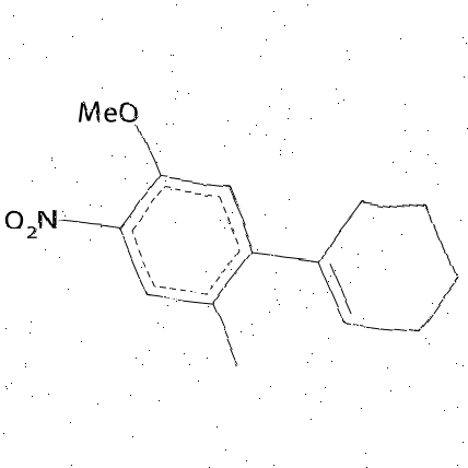 COc1cc(C2=CCCCC2)c(C)cc1[N+](=O)[O-]